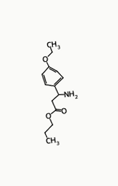 CCCOC(=O)CC(N)c1ccc(OCC)cc1